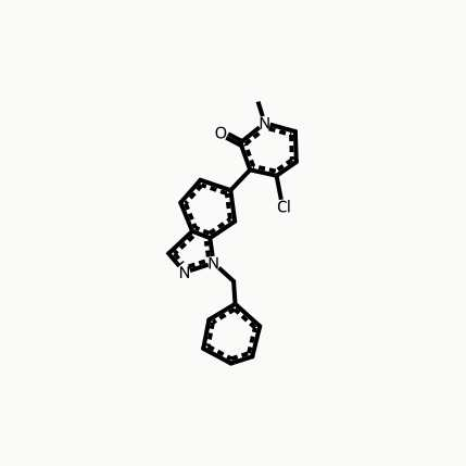 Cn1ccc(Cl)c(-c2ccc3cnn(Cc4ccccc4)c3c2)c1=O